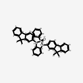 CC1(C)c2ccccc2-c2ccc(N3c4ccccc4N(c4ccc5c(c4)C(C)(C)c4ccccc4-5)P3(=O)c3ccccc3)cc21